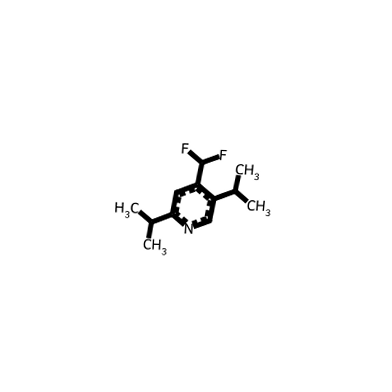 CC(C)c1cc(C(F)F)c(C(C)C)cn1